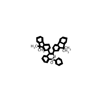 CC1(C)c2ccccc2-c2ccc(C3=C(c4ccc5c(c4)C(C)(C)c4ccccc4-5)c4ccccc4S(=O)(c4ccccc4)=N3)cc21